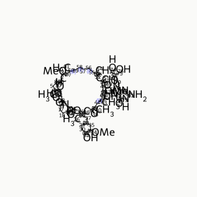 CO[C@H]1C[C@@H]2CC[C@@H](C)[C@@](O)(O2)C(=O)C(=O)N2CCCC[C@H]2C(=O)O[C@H]([C@H](C)C[C@@H]2CC[C@@H](O)[C@H](OC)C2)CC(=O)[C@H](C)/C=C(\C)[C@@H](O)[C@@H](OC)C(=O)[C@H](C)C[C@H](C)/C=C/C=C/C=C/1C.Nc1nc2c(ncn2COC(CO)CO)c(=O)[nH]1